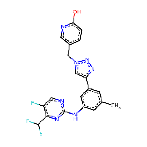 Cc1cc(Nc2ncc(F)c(C(F)F)n2)cc(-c2cn(Cc3ccc(O)nc3)nn2)c1